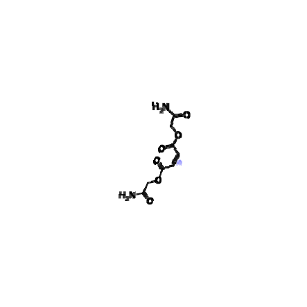 NC(=O)COC(=O)/C=C\C(=O)OCC(N)=O